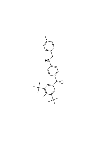 Cc1ccc(CNc2ccc(C(=O)c3cc(C(C)(C)C)c(C)c(C(C)(C)C)c3)cc2)cc1